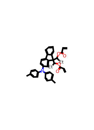 C=CC(=O)OC(CC)C1(C(CC)OC(=O)C=C)c2ccccc2-c2ccc(N(c3ccc(C)cc3)c3ccc(C)cc3)cc21